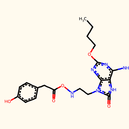 CCCCOc1nc(N)c2[nH]c(=O)n(CCNOC(=O)Cc3ccc(O)cc3)c2n1